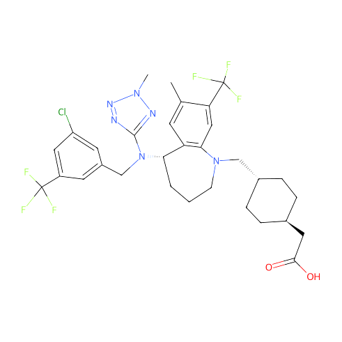 Cc1cc2c(cc1C(F)(F)F)N(C[C@H]1CC[C@H](CC(=O)O)CC1)CCC[C@@H]2N(Cc1cc(Cl)cc(C(F)(F)F)c1)c1nnn(C)n1